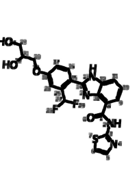 O=C(Nc1nccs1)c1cccc2[nH]c(-c3ccc(OCC(O)CO)cc3C(F)F)nc12